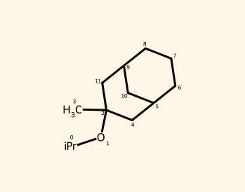 CC(C)OC1(C)CC2CCCC(C2)C1